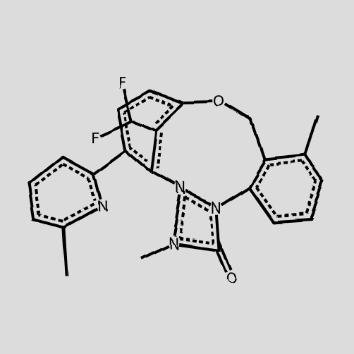 Cc1cccc(-c2ccc3c(C(F)F)c2-n2n(C)c(=O)n2-c2cccc(C)c2CO3)n1